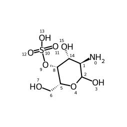 N[C@H]1C(O)O[C@H](CO)[C@H](OS(=O)(=O)O)[C@@H]1O